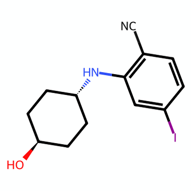 N#Cc1ccc(I)cc1N[C@H]1CC[C@H](O)CC1